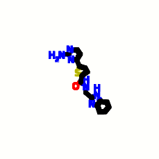 Nc1nccc(-c2ccc(C(=O)NCc3nc4ccccc4[nH]3)s2)n1